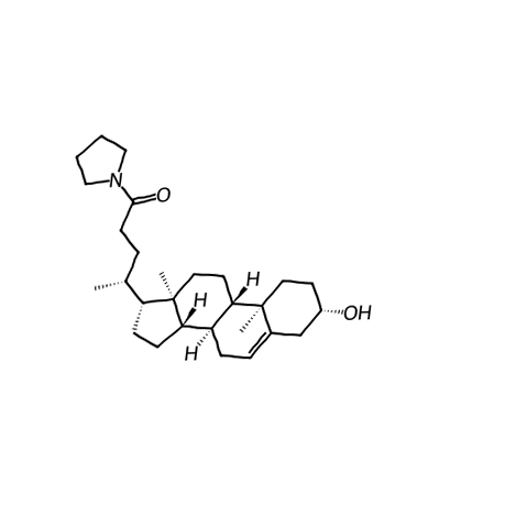 C[C@H](CCC(=O)N1CCCC1)[C@H]1CC[C@H]2[C@@H]3CC=C4C[C@@H](O)CC[C@]4(C)[C@H]3CC[C@]12C